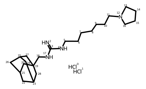 Cl.Cl.N=C(NCCCCCCCN1CCCC1)NCC12CC3CC(CC(C3)C1)C2